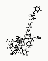 CC(=O)O[C@H]1C(=O)[C@]23C[C@H]2C[C@H]2OC[C@@]2(OC(C)=O)[C@H]3[C@H](OC(=O)c2ccccc2)[C@]2(O)CC(OC(=O)[C@H](OC(=O)COCCOCCNC(=O)OCc3ccccc3)[C@@H](NC(=O)OC(C)(C)C)c3ccccc3)C(C)=C1C2(C)C